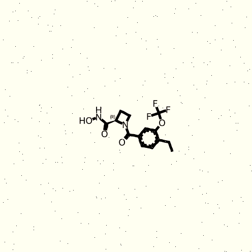 CCc1ccc(C(=O)N2CC[C@@H]2C(=O)NO)cc1OC(F)(F)F